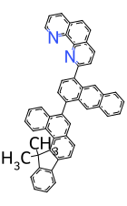 CC1(C)c2ccccc2-c2ccc3cc(-c4ccc(-c5ccc6ccc7cccnc7c6n5)c5cc6ccccc6cc45)c4ccccc4c3c21